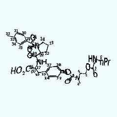 CCCNC(=O)OCCN(C)C(=O)Oc1ccc(C[C@H](NC(=O)[C@@H]2CCCN2S(=O)(=O)c2ccc(C)cc2)C(=O)O)cc1